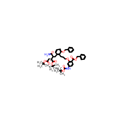 CC(C)(C)OC(=O)C[C@H](C(=O)OC(C)(C)C)C(Cc1cccc(OCc2ccccc2)c1CCCOc1cc(NC(=O)OC(C)(C)C)ccc1C(=O)OCc1ccccc1)C(N)=O